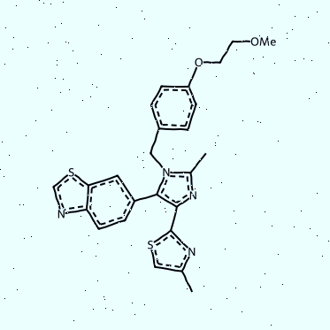 COCCOc1ccc(Cn2c(C)nc(-c3nc(C)cs3)c2-c2ccc3ncsc3c2)cc1